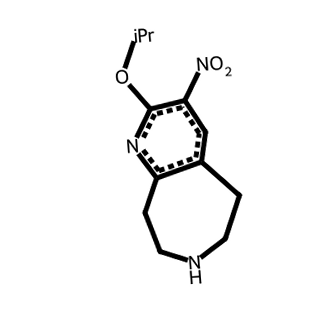 CC(C)Oc1nc2c(cc1[N+](=O)[O-])CCNCC2